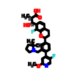 COc1cc(-c2ccc(C3CCc4ccc([C@H](O)[C@H](C)C(=O)O)c(F)c4O3)cc2CN2CCCC2(C)C)c(F)cn1